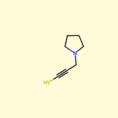 SC#CCN1CCCC1